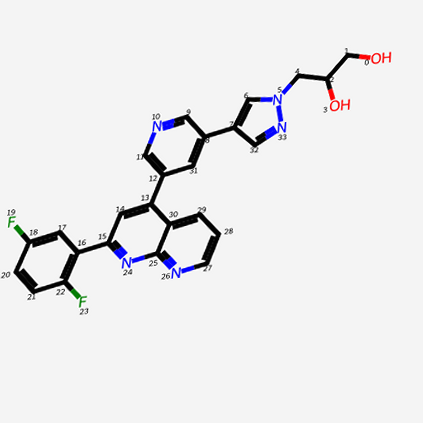 OCC(O)Cn1cc(-c2cncc(-c3cc(-c4cc(F)ccc4F)nc4ncccc34)c2)cn1